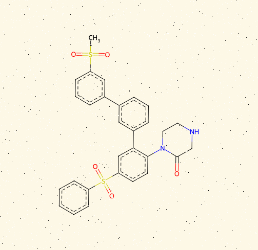 CS(=O)(=O)c1cccc(-c2cccc(-c3cc(S(=O)(=O)c4ccccc4)ccc3N3CCNCC3=O)c2)c1